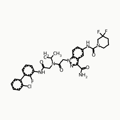 CC(C)N(CC(=O)Nc1cccc(-c2ccccc2Cl)c1F)C(=O)Cn1nc(C(N)=O)c2cc(NC(=O)N3CCCC(F)(F)C3)ccc21